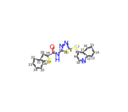 O=C(Nc1nnc(Sc2ccnc3ccccc23)s1)c1cc2ccccc2s1